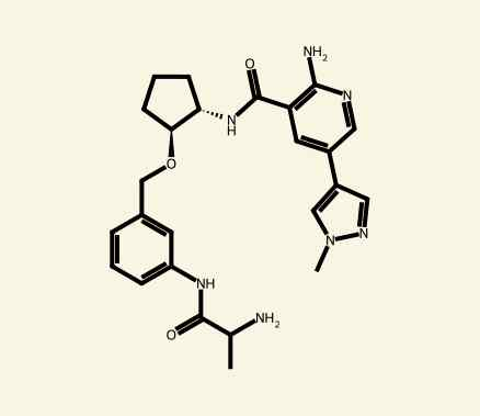 CC(N)C(=O)Nc1cccc(CO[C@H]2CCC[C@@H]2NC(=O)c2cc(-c3cnn(C)c3)cnc2N)c1